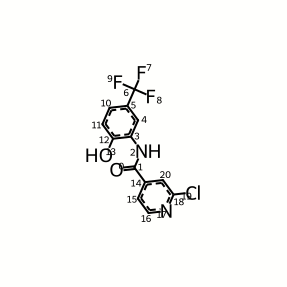 O=C(Nc1cc(C(F)(F)F)ccc1O)c1ccnc(Cl)c1